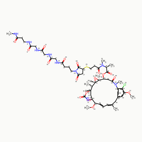 CNC(=O)CCNC(=O)CNC(=O)CNC(=O)CNC(=O)CCCN1C(=O)CC(SCCC(=O)N(C)[C@@H](C)C(=O)O[C@H]2CC(=O)N(C)c3cc(cc(OC)c3Cl)C/C(C)=C/C=C/[C@@H](OC)[C@@]3(O)C[C@H](OC(=O)N3)[C@@H](C)[C@@H]3O[C@@]23C)C1=O